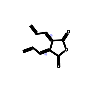 C=C/C=C1/C(=O)OC(=O)/C1=C/C=C